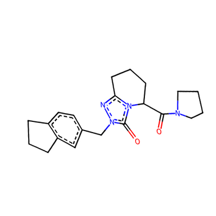 O=C(C1CCCc2nn(Cc3ccc4c(c3)CCC4)c(=O)n21)N1CCCC1